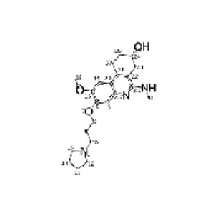 CNc1nc2cc(OCCCN3CCCC3)c(OC)cc2c2c1CC(O)CC2